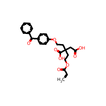 C=CC(=O)OCCC(CCOc1ccc(C(=O)c2ccccc2)cc1)(CC(=O)O)C(=O)O